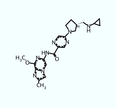 COc1nc(NC(=O)c2cnc(N3CC[C@H](CNC4CC4)C3)cn2)cn2cc(C)nc12